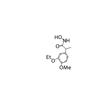 CCOc1cc(C(C)C(=O)NO)ccc1OC